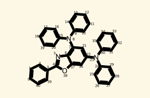 c1ccc(-c2nc3c(N(c4ccccc4)c4ccccc4)cc(N(c4ccccc4)c4ccccc4)cc3o2)cc1